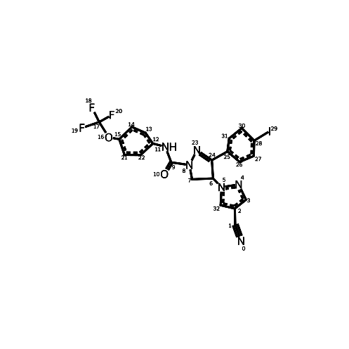 N#Cc1cnn(C2CN(C(=O)Nc3ccc(OC(F)(F)F)cc3)N=C2c2ccc(I)cc2)c1